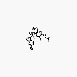 COc1nc(OCC(F)F)c(F)cc1NS(=O)(=O)c1cnn2cc(Br)ccc12